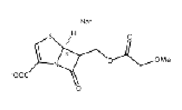 COCC(=O)OCC1C(=O)N2C(C(=O)[O-])=CS[C@@H]12.[Na+]